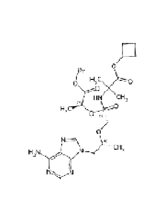 CC(C)OC(=O)[C@H](C)O[P@@](=O)(CO[C@H](C)Cn1cnc2c(N)ncnc21)NC(C)(C)C(=O)OC1CCC1